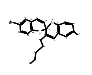 CCCCCC1=Cc2cc(C)ccc2OC12C=Cc1cc(Br)ccc1O2